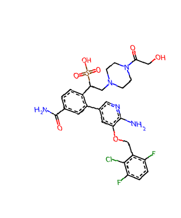 NC(=O)c1ccc(C(CN2CCN(C(=O)CO)CC2)S(=O)(=O)O)c(-c2cnc(N)c(OCc3c(F)ccc(F)c3Cl)c2)c1